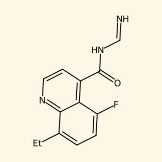 CCc1ccc(F)c2c(C(=O)NC=N)ccnc12